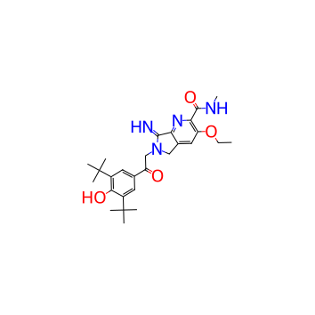 CCOc1cc2c(nc1C(=O)NC)C(=N)N(CC(=O)c1cc(C(C)(C)C)c(O)c(C(C)(C)C)c1)C2